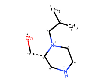 CC(C)CN1CCNC[C@@H]1CO